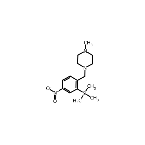 CN1CCN(Cc2ccc([N+](=O)[O-])cc2[Si](C)(C)C)CC1